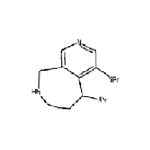 CC(C)c1cncc2c1C(C(C)C)CCNC2